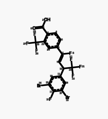 O=C(O)c1ccc(C(F)=CC(c2cc(Br)c(F)c(Br)c2)C(F)(F)F)cc1C(F)(F)F